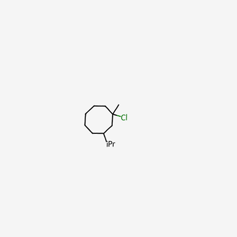 CC(C)C1CCCCCC(C)(Cl)C1